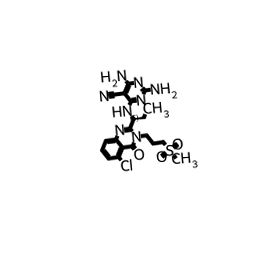 CC[C@H](Nc1nc(N)nc(N)c1C#N)c1nc2cccc(Cl)c2c(=O)n1CCCS(C)(=O)=O